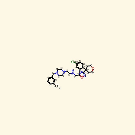 FC(F)(F)c1cccc(CN2CCN(CCNCc3nc(C4(c5ccc(Cl)cc5)CCOCC4)no3)CC2)c1